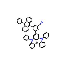 N#Cc1cc(-c2cc3c4c(c2)N(c2ccccc2)c2ccccc2B4c2ccccc2N3c2ccccc2)cc(-c2c3ccccc3c(-c3ccccc3)c3ccccc23)c1